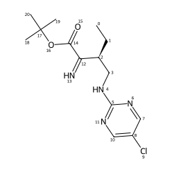 CC[C@@H](CNc1ncc(Cl)cn1)C(=N)C(=O)OC(C)(C)C